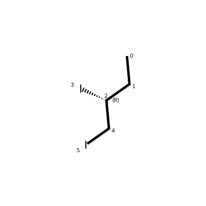 CC[C@@H](I)CI